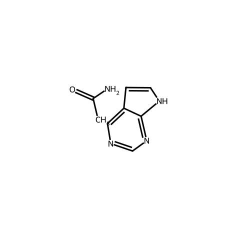 CC(N)=O.c1ncc2cc[nH]c2n1